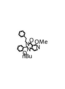 CCCCOc1ccccc1-c1nc2ccnc(OC)c2c(=O)n1CCc1ccccc1